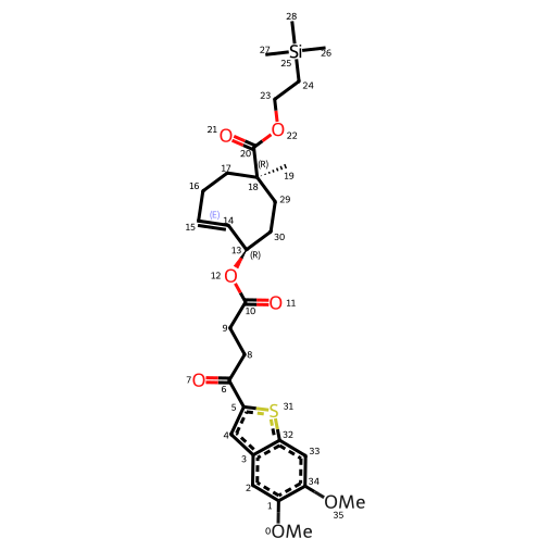 COc1cc2cc(C(=O)CCC(=O)O[C@H]3/C=C/CC[C@@](C)(C(=O)OCC[Si](C)(C)C)CC3)sc2cc1OC